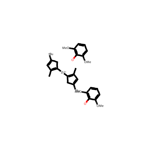 CC1=[C]([Zr+2][C]2=C(C)C=C(C(C)(C)C)C2)CC(C(C)(C)C)=C1.COc1cccc(OC)c1[O-].COc1cccc(OC)c1[O-]